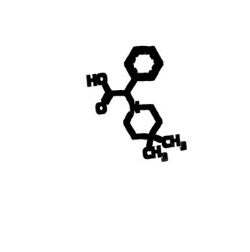 CC1(C)CCN(C(C(=O)O)c2ccccc2)CC1